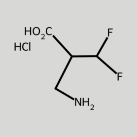 Cl.NCC(C(=O)O)C(F)F